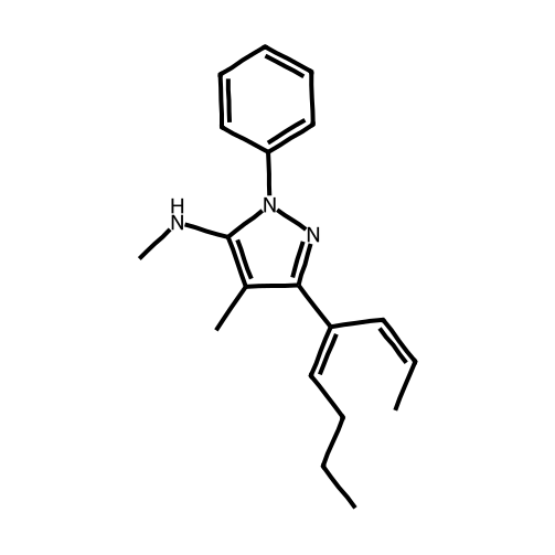 C/C=C\C(=C/CCC)c1nn(-c2ccccc2)c(NC)c1C